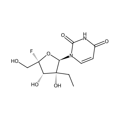 CC[C@]1(O)[C@H](n2ccc(=O)[nH]c2=O)O[C@](F)(CO)[C@H]1O